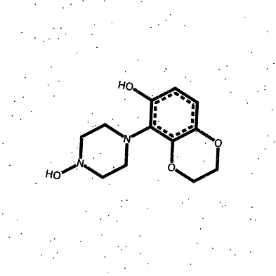 Oc1ccc2c(c1N1CCN(O)CC1)OCCO2